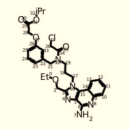 CCOCc1nc2c(N)nc3ccccc3c2n1CCCN(Cc1cccc(OCC(=O)OC(C)C)c1)C(=O)CCl